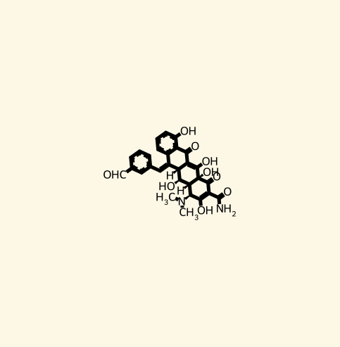 CN(C)[C@@H]1C(O)=C(C(N)=O)C(=O)[C@@]2(O)C(O)=C3C(=O)c4c(O)cccc4/C(=C\c4cccc(C=O)c4)[C@H]3[C@H](O)[C@@H]12